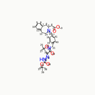 COC(=O)CC1Cc2ccccc2CCN1Cc1ccc(CN(OC(C)(C)C)C(=O)C=NNC(=O)OC(C)(C)C)cc1